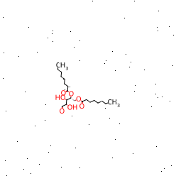 CCCCCCCC(=O)OC[C@@H](OC(=O)CCCCCCC)[C@H](O)[C@@H](O)C=O